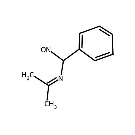 CC(C)=NC(N=O)c1ccccc1